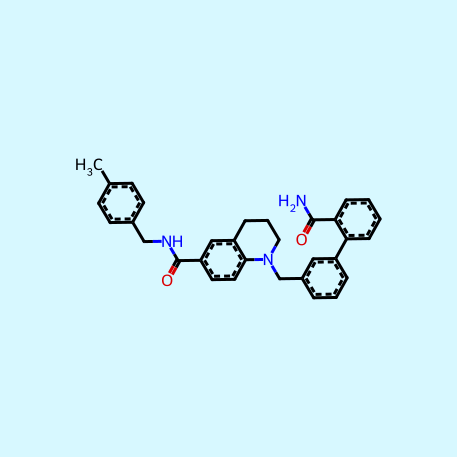 Cc1ccc(CNC(=O)c2ccc3c(c2)CCCN3Cc2cccc(-c3ccccc3C(N)=O)c2)cc1